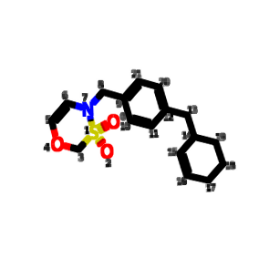 O=S1(=O)COC=CN1Cc1ccc(CC2C=CCCC2)cc1